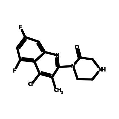 Cc1c(N2CCNCC2=O)nc2cc(F)cc(F)c2c1Cl